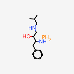 CC(C)CNCC(O)C(Cc1ccccc1)NP